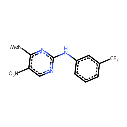 CNc1nc(Nc2cccc(C(F)(F)F)c2)ncc1[N+](=O)[O-]